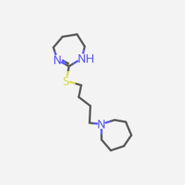 C1CCCN(CCCCSC2=NCCCCN2)CC1